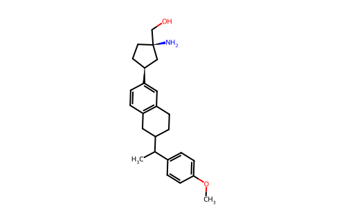 COc1ccc(C(C)C2CCc3cc([C@H]4CC[C@](N)(CO)C4)ccc3C2)cc1